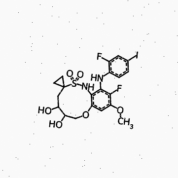 COc1cc2c(c(Nc3ccc(I)cc3F)c1F)NS(=O)(=O)C1(CC1)CC(O)C(O)CO2